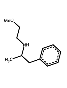 COCCNC(C)Cc1ccccc1